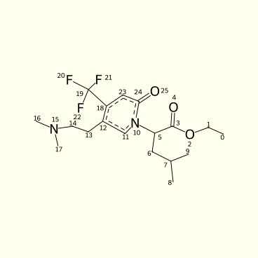 CCOC(=O)C(CC(C)C)n1cc(CCN(C)C)c(C(F)(F)F)cc1=O